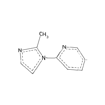 Cc1nccn1-c1cc[c]cn1